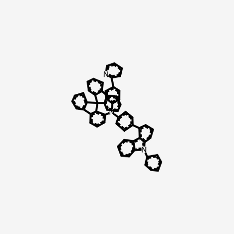 c1ccc(-n2c3ccccc3c3c(-c4ccc(N(c5ccc(-c6ccccn6)cc5)c5cccc6c5C5(c7ccccc7-c7ccccc75)c5ccccc5-6)cc4)cccc32)cc1